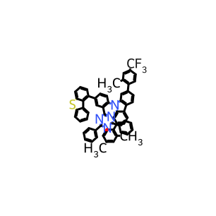 Cc1ccc(-c2ccc3c4ccc(-c5ccc(C(F)(F)F)cc5C)cc4n(-c4ccc(-c5cccc6sc7ccccc7c56)cc4-c4nc(-c5ccccc5)nc(-c5ccccc5)n4)c3c2)c(C)c1